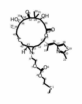 CSCCOC(=O)OCC[N@@]1C2C[C@@H](/C(C)=C/c3csc(C)n3)OC(=O)C[C@H](O)C(C)(C)C(=O)[C@H](C)[C@@H](O)[C@@H](C)CCC[C@H]21